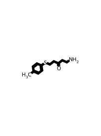 Cc1ccc(SCCC(=O)CCN)cc1